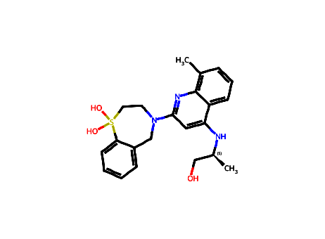 Cc1cccc2c(N[C@@H](C)CO)cc(N3CCS(O)(O)c4ccccc4C3)nc12